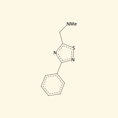 CNCc1nc(-c2ccccc2)ns1